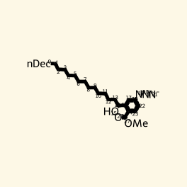 CCCCCCCCCCCCCCCCCCCCCCCC(O)c1cc(N=[N+]=[N-])ccc1C(=O)OC